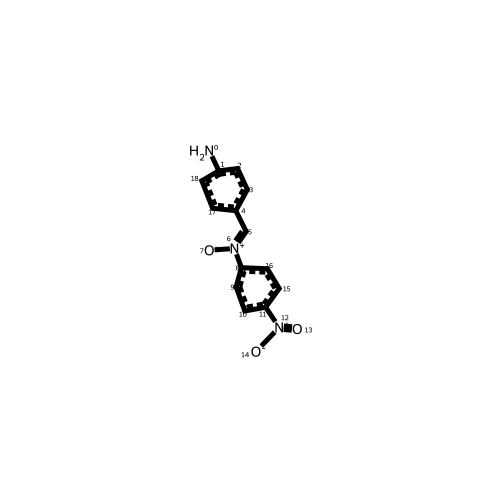 Nc1ccc(C=[N+]([O-])c2ccc([N+](=O)[O-])cc2)cc1